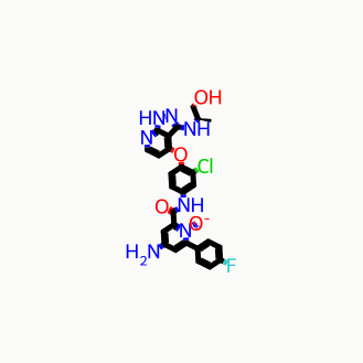 C[C@H](CO)Nc1n[nH]c2nccc(Oc3ccc(NC(=O)c4cc(N)cc(-c5ccc(F)cc5)[n+]4[O-])cc3Cl)c12